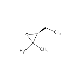 CC[C@@H]1OC1(C)C